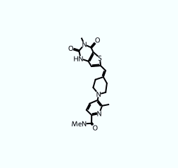 CNC(=O)c1ccc(N2CCC(=Cc3cc4[nH]c(=O)n(C)c(=O)c4s3)CC2)c(C)n1